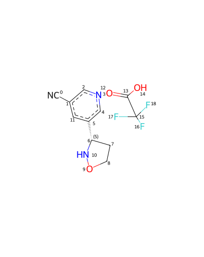 N#Cc1cncc([C@@H]2CCON2)c1.O=C(O)C(F)(F)F